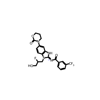 O=C(/N=c1\[nH]c2cc(N3CCCOC3=O)ccc2n1CC(F)CO)c1cccc(C(F)(F)F)c1